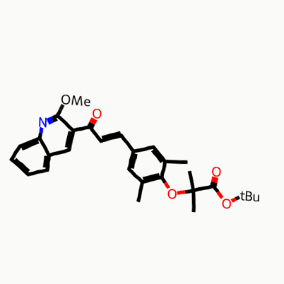 COc1nc2ccccc2cc1C(=O)/C=C/c1cc(C)c(OC(C)(C)C(=O)OC(C)(C)C)c(C)c1